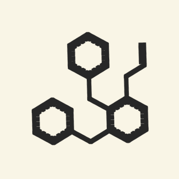 C=CCc1cccc(Cc2ccccc2)c1Cc1ccccc1